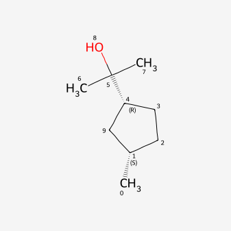 C[C@H]1CC[C@@H](C(C)(C)O)C1